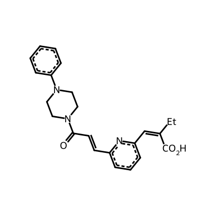 CCC(=Cc1cccc(C=CC(=O)N2CCN(c3ccccc3)CC2)n1)C(=O)O